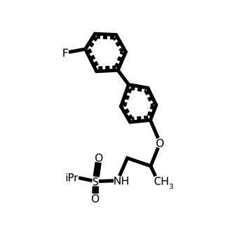 CC(CNS(=O)(=O)C(C)C)Oc1ccc(-c2cccc(F)c2)cc1